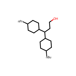 CCCCC1CCC(C(CCO)C2CCC(CCC)CC2)CC1